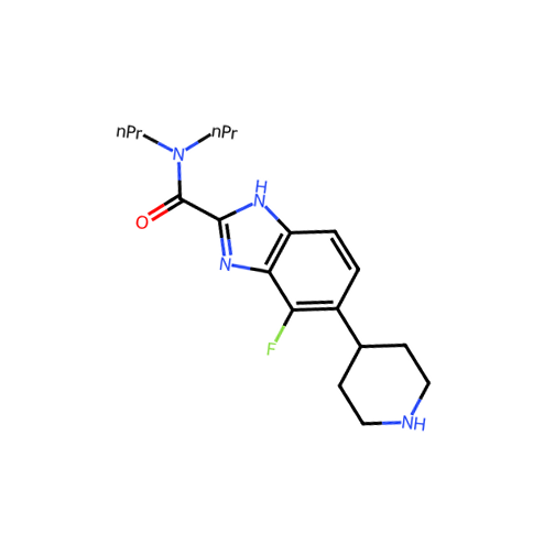 CCCN(CCC)C(=O)c1nc2c(F)c(C3CCNCC3)ccc2[nH]1